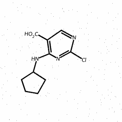 O=C(O)c1cnc(Cl)nc1NC1CCCC1